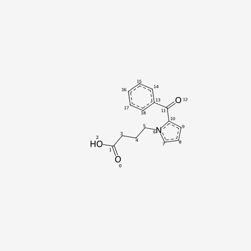 O=C(O)CCCn1cccc1C(=O)c1ccccc1